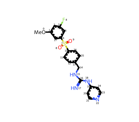 COc1cc(F)cc(S(=O)(=O)c2ccc(CNC(=N)Nc3ccncc3)cc2)c1